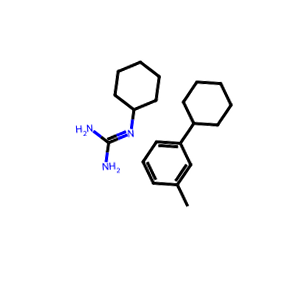 Cc1cccc(C2CCCCC2)c1.NC(N)=NC1CCCCC1